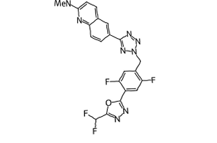 CNc1ccc2cc(-c3nnn(Cc4cc(F)c(-c5nnc(C(F)F)o5)cc4F)n3)ccc2n1